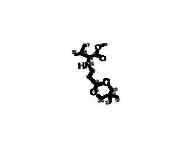 COC(=O)C(NCCC1OCC(C)(C)CO1)C(C)C